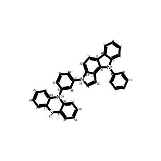 c1ccc(-n2c3ccccc3c3ccc4c(ccn4-c4cccc(N5c6ccccc6Sc6ccccc65)c4)c32)cc1